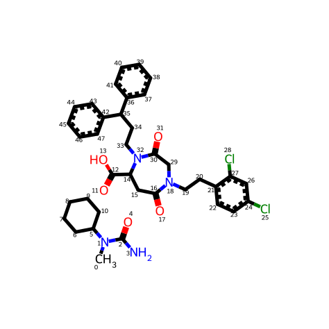 CN(C(N)=O)C1CCCCC1.O=C(O)C1CC(=O)N(CCc2ccc(Cl)cc2Cl)CC(=O)N1CCC(c1ccccc1)c1ccccc1